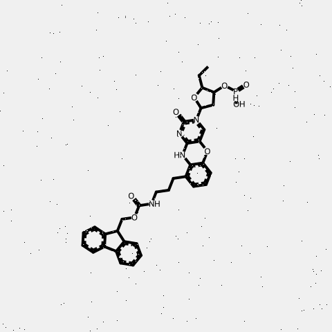 CCC1OC(n2cc3c(nc2=O)Nc2c(CCCNC(=O)OCC4c5ccccc5-c5ccccc54)cccc2O3)CC1O[PH](=O)O